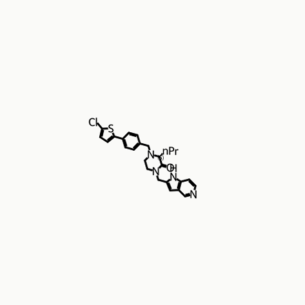 CCC[C@H]1C(=O)N(Cc2cc3cnccc3[nH]2)CCN1Cc1ccc(-c2ccc(Cl)s2)cc1